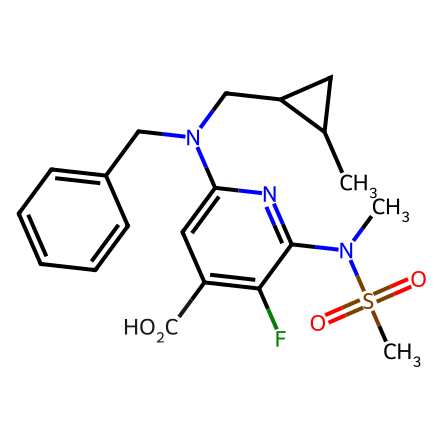 CC1CC1CN(Cc1ccccc1)c1cc(C(=O)O)c(F)c(N(C)S(C)(=O)=O)n1